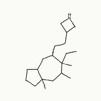 CCC1(C)C(C)CC2(C)CCCC2CC1CCC1CNC1